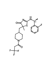 C[C@H](NC1=NC(=O)C(C)(CC2CCN(C(=O)CC(F)(F)F)CC2)S1)c1ccccc1F